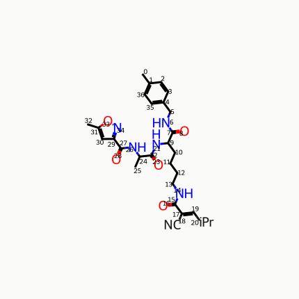 Cc1ccc(CNC(=O)C(CCCCNC(=O)C(C#N)=CC(C)C)NC(=O)C(C)NC(=O)c2cc(C)on2)cc1